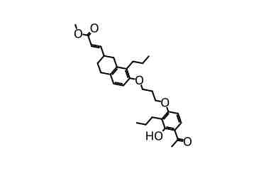 CCCc1c(OCCCOc2ccc3c(c2CCC)CC(/C=C/C(=O)OC)CC3)ccc(C(C)=O)c1O